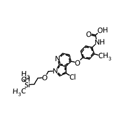 Cc1cc(Oc2ccnc3c2c(Cl)cn3COCC[SiH](C)C)ccc1NC(=O)O